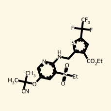 CCOC(=O)c1cc(C(F)(F)C(F)(F)F)sc1CNc1ncc(OC(C)(C)C#N)cc1S(=O)(=O)CC